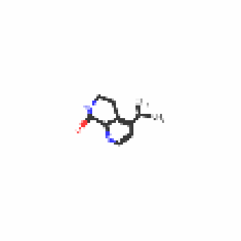 CC(C)c1ccnc2c1CCNC2=O